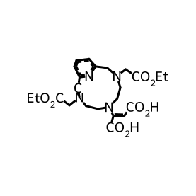 CCOC(=O)CN1CCN(/C(=C\C(=O)O)C(=O)O)CCN(CC(=O)OCC)Cc2cccc(n2)C1